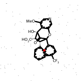 COc1cncc2c1[C@@]1(O)C(=O)C(c3ccc(C(F)(F)F)cc3)(O2)[C@H](c2ccccc2)[C@@H]1C(=O)O